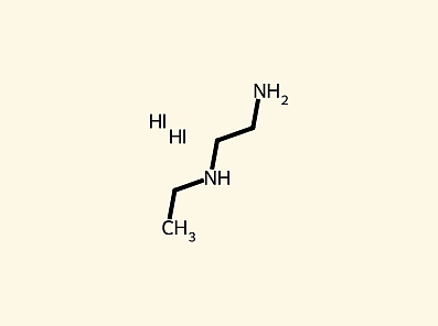 CCNCCN.I.I